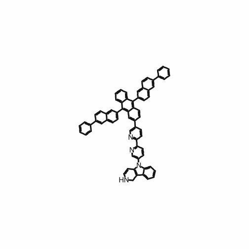 C1=Cc2c(c3ccccc3n2-c2ccc(-c3ccc(-c4ccc5c(-c6ccc7cc(-c8ccccc8)ccc7c6)c6ccccc6c(-c6ccc7cc(-c8ccccc8)ccc7c6)c5c4)cn3)nc2)CN1